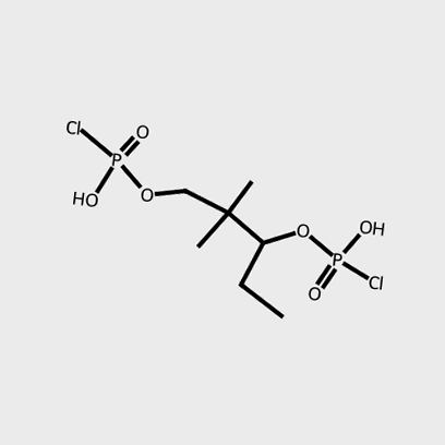 CCC(OP(=O)(O)Cl)C(C)(C)COP(=O)(O)Cl